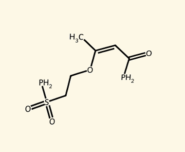 C/C(=C/C(=O)P)OCCS(=O)(=O)P